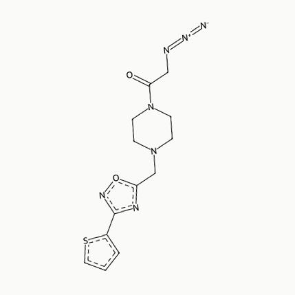 [N-]=[N+]=NCC(=O)N1CCN(Cc2nc(-c3cccs3)no2)CC1